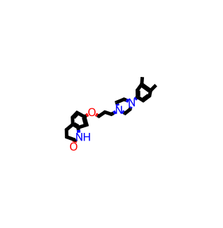 Cc1ccc(N2CCN(CCCOc3ccc4c(c3)NC(=O)CC4)CC2)cc1C